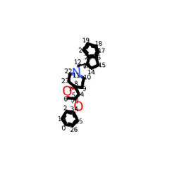 c1ccc(O[C@H]2COC3(CCN(C[C@@H]4CCc5ccccc54)CC3)C2)cc1